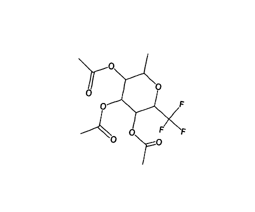 CC(=O)OC1C(C)OC(C(F)(F)F)C(OC(C)=O)C1OC(C)=O